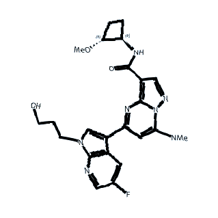 CNc1cc(-c2cn(CCCO)c3ncc(F)cc23)nc2c(C(=O)N[C@@H]3CC[C@H]3OC)cnn12